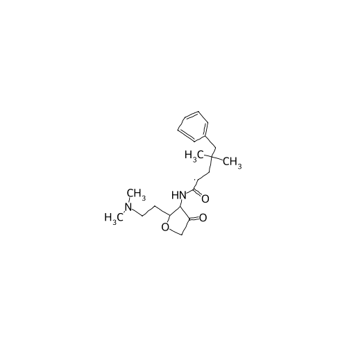 CN(C)CCC1OCC(=O)C1NC(=O)[CH]CC(C)(C)Cc1ccccc1